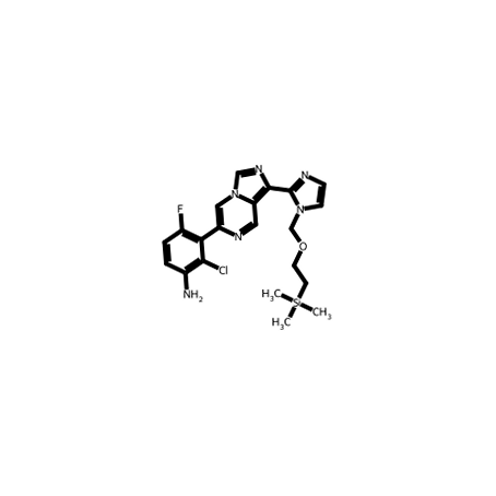 C[Si](C)(C)CCOCn1ccnc1-c1ncn2cc(-c3c(F)ccc(N)c3Cl)ncc12